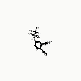 N#Cc1ccc(OS(=O)(=O)C(F)(F)F)cc1C#N